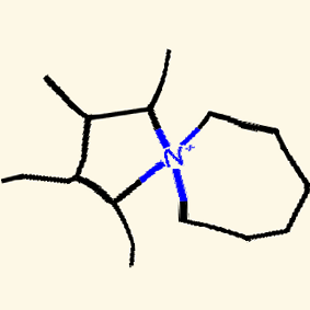 CC1C(C)C(C)[N+]2(CCCCCC2)C1C